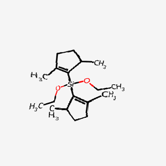 CCO[Si](OCC)(C1=C(C)CCC1C)C1=C(C)CCC1C